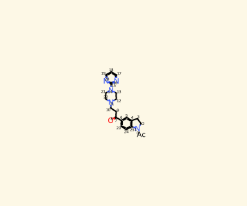 CC(=O)N1CCc2cc(C(=O)CCN3CCN(c4ncccn4)CC3)ccc21